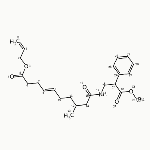 C=CCOC(=O)CCC=CCCC(C)CC(=O)NCC(C(=O)OC(C)(C)C)c1ccccc1